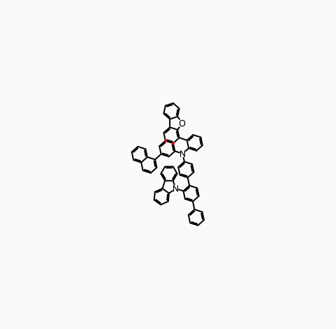 c1ccc(-c2ccc(-c3ccc(N(c4cccc(-c5cccc6ccccc56)c4)c4ccccc4-c4cccc5c4oc4ccccc45)cc3)c(-n3c4ccccc4c4ccccc43)c2)cc1